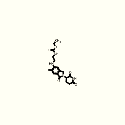 CCOC(=O)NCCNc1cc2c(cc1I)C(=O)N(C1CCC(=O)NC1=O)C2